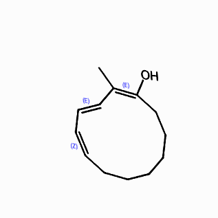 CC1=C(/O)CCCCCC\C=C/C=C/1